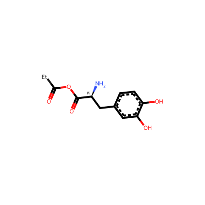 CCC(=O)OC(=O)[C@@H](N)Cc1ccc(O)c(O)c1